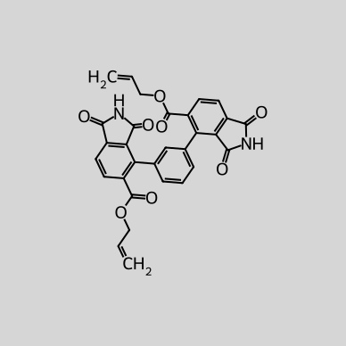 C=CCOC(=O)c1ccc2c(c1-c1cccc(-c3c(C(=O)OCC=C)ccc4c3C(=O)NC4=O)c1)C(=O)NC2=O